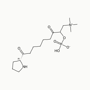 C[N+](C)(C)CC(OP(=O)([O-])O)C(=O)CCCCCC(=O)[C@H]1CCCN1